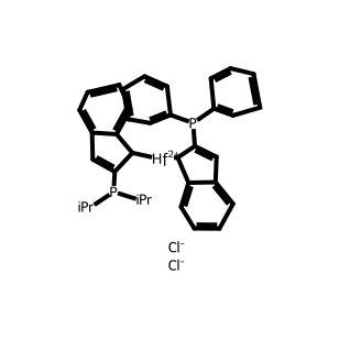 CC(C)P(C1=Cc2ccccc2[CH]1[Hf+2][CH]1C(P(c2ccccc2)c2ccccc2)=Cc2ccccc21)C(C)C.[Cl-].[Cl-]